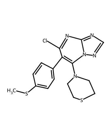 CSc1ccc(-c2c(Cl)nc3ncnn3c2N2CCSCC2)cc1